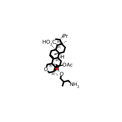 CC(=O)O[C@@H]1C[C@@]23COC[C@@](C)([C@@H]2CC[C@H]2C3=CC[C@@]3(C)[C@H](C(=O)O)[C@@](C)([C@H](C)C(C)C)CC[C@]23C)[C@H]1OCC(C)CN